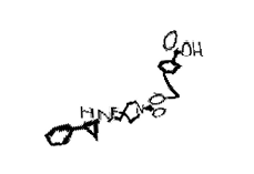 O=C(O)c1ccc(COC(=O)N2CCC(F)(CNC3CC3c3ccccc3)CC2)cc1